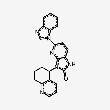 O=c1[nH]c2ccc(-n3cnc4ccccc43)nc2n1C1CCCc2ncccc21